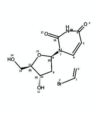 C=CBr.O=c1ccn([C@H]2C[C@H](O)[C@@H](CO)O2)c(=O)[nH]1